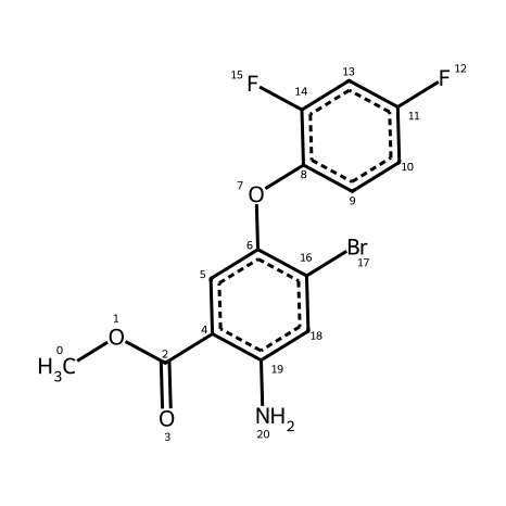 COC(=O)c1cc(Oc2ccc(F)cc2F)c(Br)cc1N